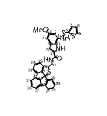 COc1cc(NSc2cccs2)c2[nH]c(C(=O)NCCSC(c3ccccc3)(c3ccccc3)c3ccccc3)cc2c1